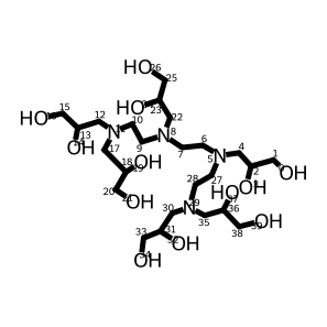 OCC(O)CN(CCN(CCN(CC(O)CO)CC(O)CO)CC(O)CO)CCN(CC(O)CO)CC(O)CO